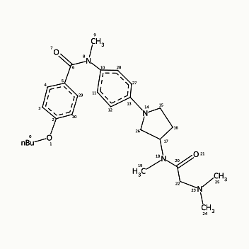 CCCCOc1ccc(C(=O)N(C)c2ccc(N3CCC(N(C)C(=O)CN(C)C)C3)cc2)cc1